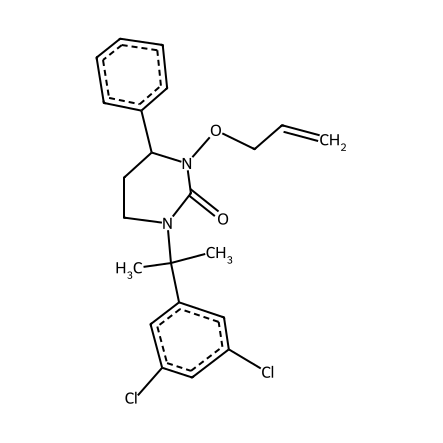 C=CCON1C(=O)N(C(C)(C)c2cc(Cl)cc(Cl)c2)CCC1c1ccccc1